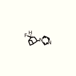 F[C@H]1CC(n2ccnc2)C2CC1C2